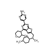 CC1COCCN1c1nc(-c2cnc(N)nc2)nc2sc(CN(C)C3CCN(C)CC3)cc12